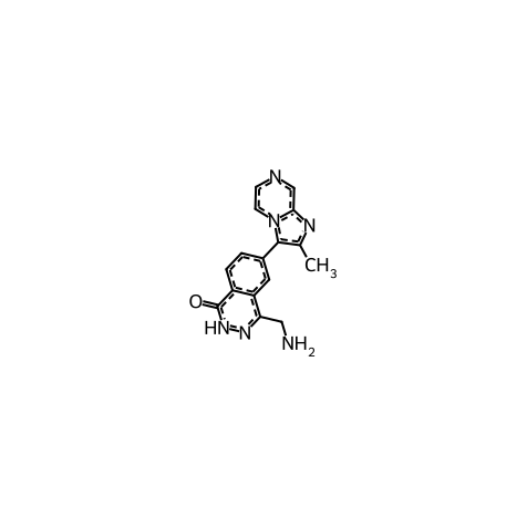 Cc1nc2cnccn2c1-c1ccc2c(=O)[nH]nc(CN)c2c1